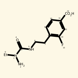 CCN(N)C(=O)NCCc1ccc(C(=O)O)cc1F